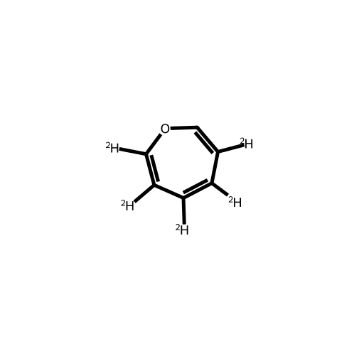 [2H]C1=COC([2H])=C([2H])C([2H])=C1[2H]